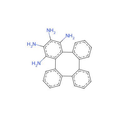 Nc1c(N)c(N)c2c(c1N)-c1ccccc1-c1ccccc1-c1ccccc1-2